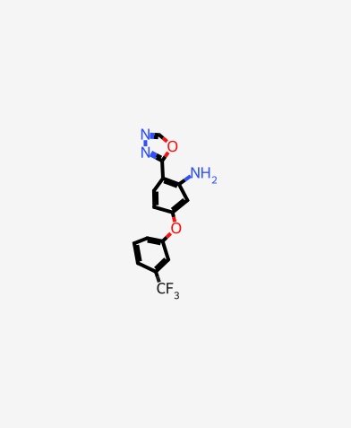 Nc1cc(Oc2cccc(C(F)(F)F)c2)ccc1-c1nnco1